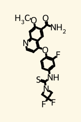 COc1cc2nccc(Oc3ccc(NC(=S)N4CC(F)(F)C4)cc3F)c2cc1C(N)=O